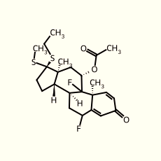 CCS[C@]1(SC)CC[C@H]2[C@@H]3CC(F)C4=CC(=O)C=C[C@]4(C)C3(F)[C@@H](OC(C)=O)C[C@@]21C